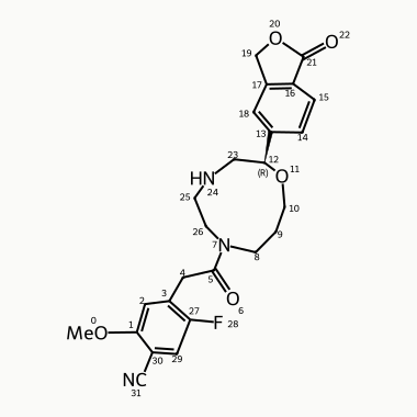 COc1cc(CC(=O)N2CCCO[C@H](c3ccc4c(c3)COC4=O)CNCC2)c(F)cc1C#N